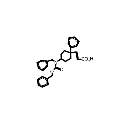 O=C(O)/C=C/C1(c2ccccc2)CCC(N(Cc2ccccc2)C(=O)OCc2ccccc2)CC1